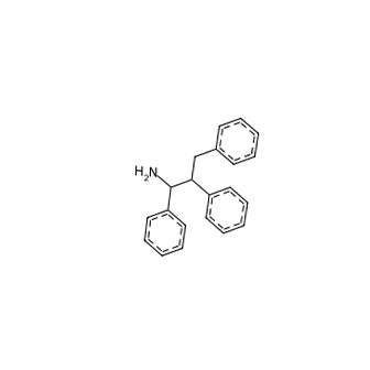 NC(c1ccccc1)C(Cc1ccccc1)c1ccccc1